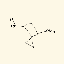 CCNC1CC(OC)C12CC2